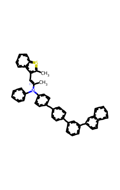 C/C(=C\c1c(C)sc2ccccc12)N(c1ccccc1)c1ccc(-c2ccc(-c3cccc(-c4ccc5ccccc5c4)c3)cc2)cc1